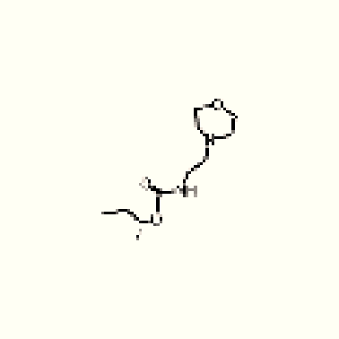 CC[C@@H](C)OC(=O)NCCN1CCOCC1